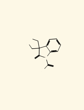 CCC1(CC)C(=O)N(C(C)=O)c2ccccc21